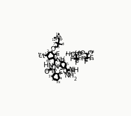 CCc1cc(OCC(C)(C)CN(C)C)c(F)c(C(Nc2ccc(C(=N)N)cc2)c2nn(-c3ccccc3C(=O)O)c(=O)[nH]2)c1.O=C(O)C(F)(F)F.O=C(O)C(F)(F)F